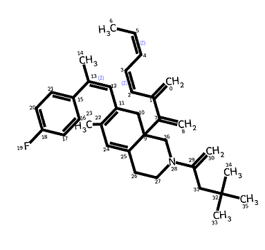 C=C(/C=C\C=C/C)C(=C)C12CC(/C=C(/C)c3ccc(F)cc3)=C(C)C=C1CCN(C(=C)CC(C)(C)C)C2